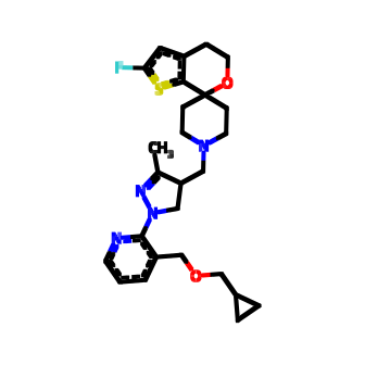 CC1=NN(c2ncccc2COCC2CC2)CC1CN1CCC2(CC1)OCCc1cc(F)sc12